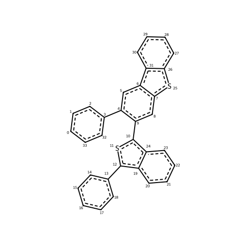 c1ccc(-c2cc3c(cc2-c2sc(-c4ccccc4)c4ccccc24)sc2ccccc23)cc1